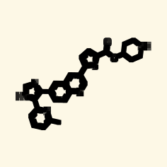 Cc1cccc(-c2[nH]cnc2-c2ccc3ncc(-c4ccc(C(=O)OC5CCNCC5)s4)cc3c2)n1